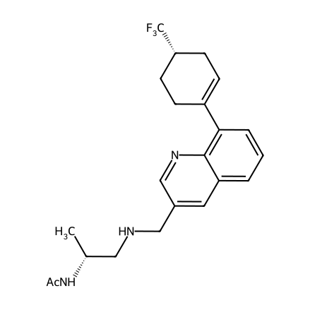 CC(=O)N[C@H](C)CNCc1cnc2c(C3=CC[C@@H](C(F)(F)F)CC3)cccc2c1